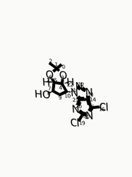 CC1(C)O[C@@H]2[C@H](O1)[C@@H](O)C[C@H]2n1nnc2c(Cl)nc(Cl)nc21